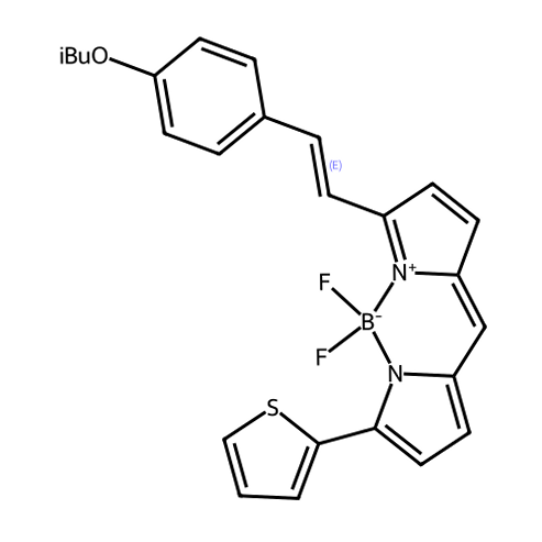 CC(C)COc1ccc(/C=C/C2=[N+]3C(=Cc4ccc(-c5cccs5)n4[B-]3(F)F)C=C2)cc1